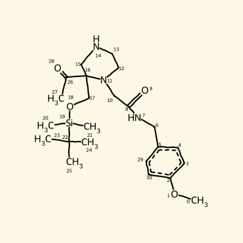 COc1ccc(CNC(=O)CN2CCNCC2(CO[Si](C)(C)C(C)(C)C)C(C)=O)cc1